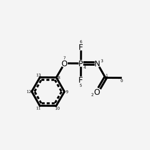 CC(=O)N=P(F)(F)Oc1ccccc1